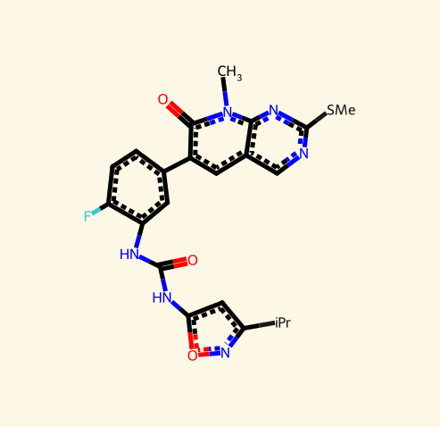 CSc1ncc2cc(-c3ccc(F)c(NC(=O)Nc4cc(C(C)C)no4)c3)c(=O)n(C)c2n1